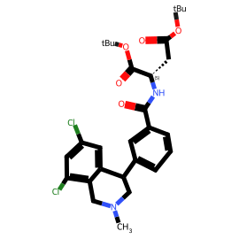 CN1Cc2c(Cl)cc(Cl)cc2C(c2cccc(C(=O)N[C@@H](CC(=O)OC(C)(C)C)C(=O)OC(C)(C)C)c2)C1